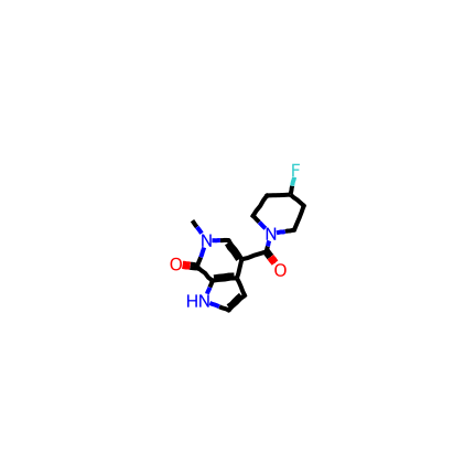 Cn1cc(C(=O)N2CCC(F)CC2)c2cc[nH]c2c1=O